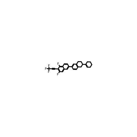 Fc1cc2cc(-c3ccc4c(c3)CCC(C3=CCCCC3)C4)ccc2c(F)c1C#CC(F)(F)F